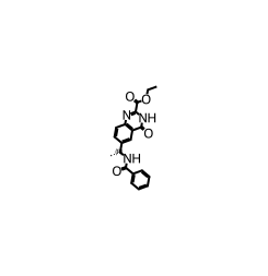 CCOC(=O)c1nc2ccc([C@@H](C)NC(=O)c3ccccc3)cc2c(=O)[nH]1